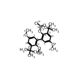 COc1cc(-c2cc(OC)cc(C(C)(C)C)c2OP(Cl)Cl)c(OC)c(C(C)(C)C)c1